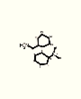 CN(C)C1CCCCC1.NCC1CCCCC1